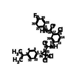 CC(C)c1ccc([C@@H]2[C@@H](C(=O)Nc3ccc(Cl)c(C(=O)Nc4ccc(F)cc4)c3)C2(Cl)Cl)cc1